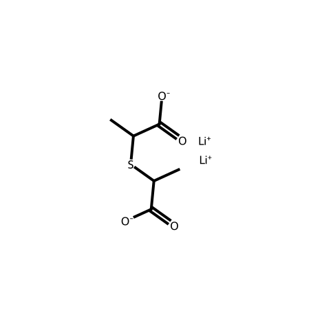 CC(SC(C)C(=O)[O-])C(=O)[O-].[Li+].[Li+]